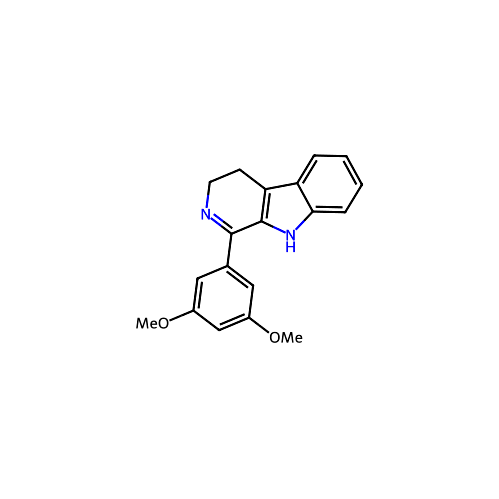 COc1cc(OC)cc(C2=NCCc3c2[nH]c2ccccc32)c1